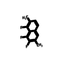 Cc1cc2ccc(C)c(F)c2c(F)c1F